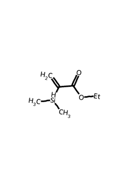 C=C(C(=O)OCC)[SiH](C)C